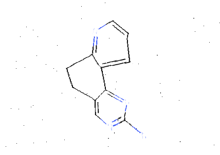 Nc1ncc2c(n1)-c1cccnc1CC2